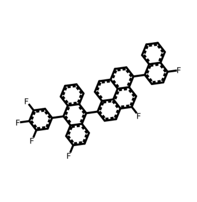 Fc1ccc2c(-c3ccc4c(F)cc5c(-c6ccc(F)c7ccccc67)ccc6ccc3c4c65)c3ccccc3c(-c3cc(F)c(F)c(F)c3)c2c1